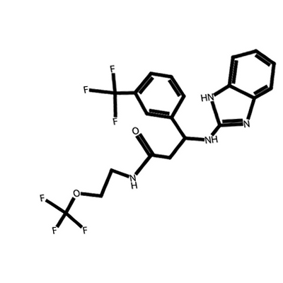 O=C(CC(Nc1nc2ccccc2[nH]1)c1cccc(C(F)(F)F)c1)NCCOC(F)(F)F